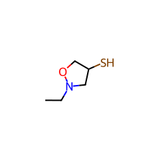 CCN1CC(S)CO1